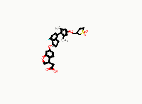 Cc1cc(OCC2CCS(=O)(=O)C2)cc(C)c1-c1ccc(F)c2c1CC[C@H]2Oc1ccc2c(c1)OCC2CC(=O)O